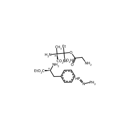 CCOC(=O)[C@@H](N)Cc1ccccc1.CCOC(=O)[C@](C)(N)C(CC)(OC(=O)CN)C(=O)O.P=NP